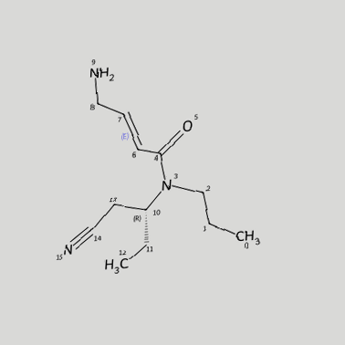 CCCN(C(=O)/C=C/CN)[C@H](CC)CC#N